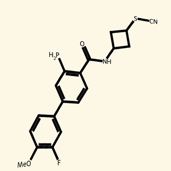 COc1ccc(-c2ccc(C(=O)NC3CC(SC#N)C3)c(P)c2)cc1F